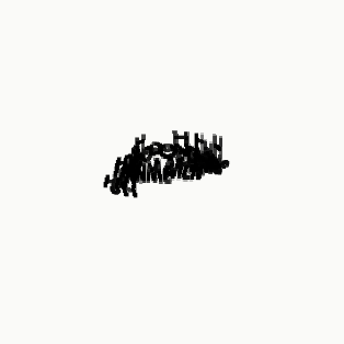 CN[C@@H](C)C(=O)NC1C(=O)N2[C@@H](CC[C@@H]1CNCc1ccccc1)CC[C@H]2C(=O)N[C@H](C(=O)NCCOCCOCCOCCNC(=O)COCC(=O)NC[C@H]1CC[C@H]2CC[C@@H](C(=O)NC(c3ccccc3)c3ccccc3)N2C(=O)[C@H]1NC(=O)[C@H](C)NC)c1ccccc1